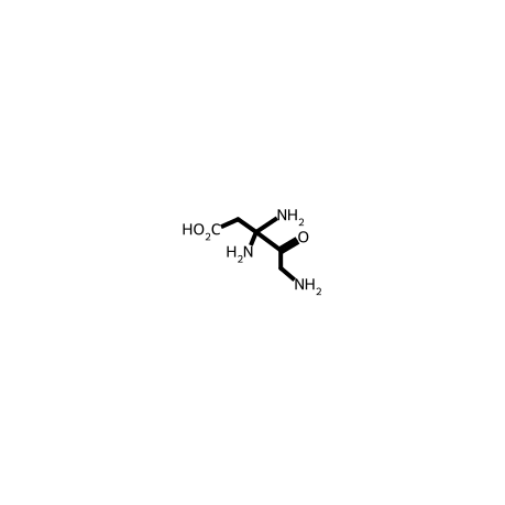 NCC(=O)C(N)(N)CC(=O)O